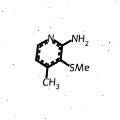 CSc1c(C)ccnc1N